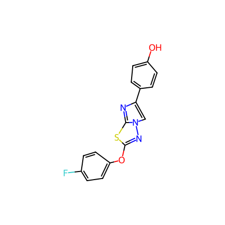 Oc1ccc(-c2cn3nc(Oc4ccc(F)cc4)sc3n2)cc1